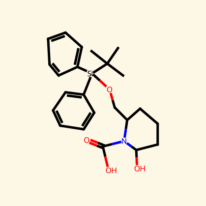 CC(C)(C)[Si](OCC1CCCC(O)N1C(=O)O)(c1ccccc1)c1ccccc1